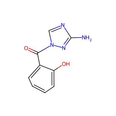 Nc1ncn(C(=O)c2ccccc2O)n1